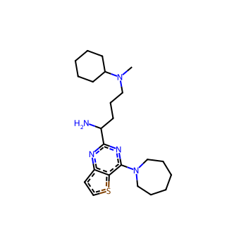 CN(CCCC(N)c1nc(N2CCCCCC2)c2sccc2n1)C1CCCCC1